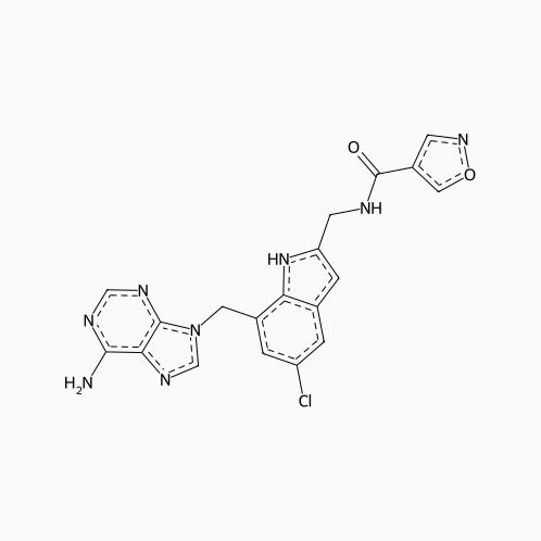 Nc1ncnc2c1ncn2Cc1cc(Cl)cc2cc(CNC(=O)c3cnoc3)[nH]c12